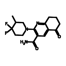 CC1CN(c2nc3c(cc2C(N)=O)C(=O)CCC3)CCC1(F)F